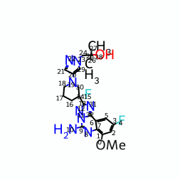 COc1cc(F)cc2c1nc(N)n1nc([C@@]3(F)CCCN(c4cnn(CC(C)(C)O)c4)C3)nc21